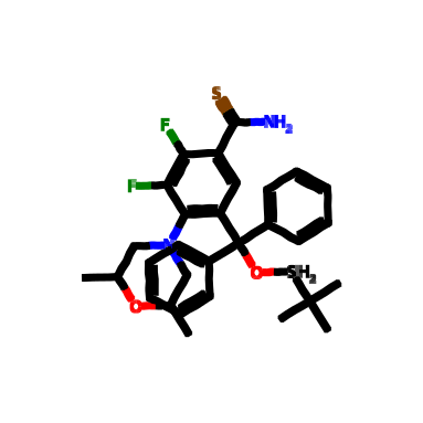 CC1CN(c2c(C(O[SiH2]C(C)(C)C)(c3ccccc3)c3ccccc3)cc(C(N)=S)c(F)c2F)CC(C)O1